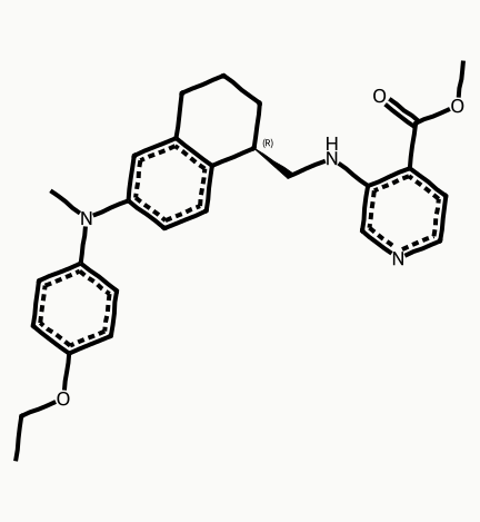 CCOc1ccc(N(C)c2ccc3c(c2)CCC[C@H]3CNc2cnccc2C(=O)OC)cc1